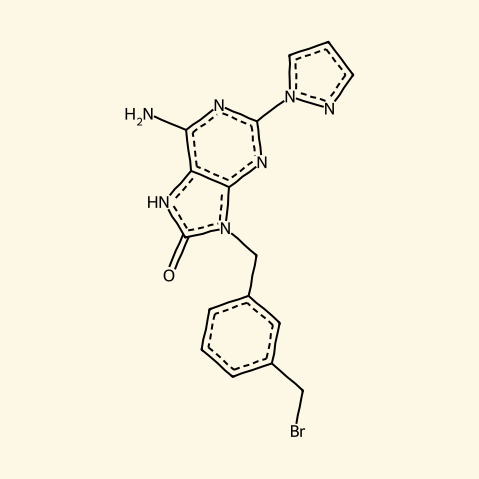 Nc1nc(-n2cccn2)nc2c1[nH]c(=O)n2Cc1cccc(CBr)c1